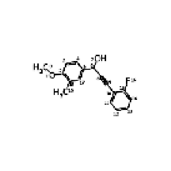 COc1ccc(C(O)C#Cc2ccccc2F)cc1C